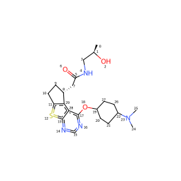 C[C@@H](O)CNC(=O)C[C@H]1CCc2sc3ncnc(OC4CCC(N(C)C)CC4)c3c21